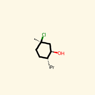 CC(C)[C@@H]1CC[C@@](C)(Cl)C[C@H]1O